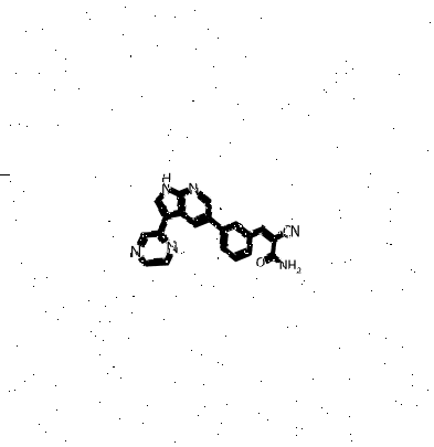 N#CC(=Cc1cccc(-c2cnc3[nH]cc(-c4cnccn4)c3c2)c1)C(N)=O